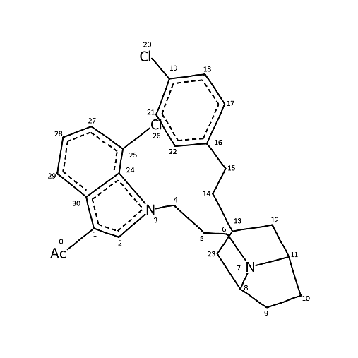 CC(=O)c1cn(CCCN2C3CCC2CC(CCc2ccc(Cl)cc2)C3)c2c(Cl)cccc12